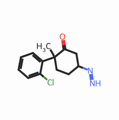 CC1(c2ccccc2Cl)CCC(N=N)CC1=O